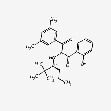 CCC[C@H](NN(C(=O)c1cc(C)cc(C)c1)C(=O)c1ccccc1Br)C(C)(C)C